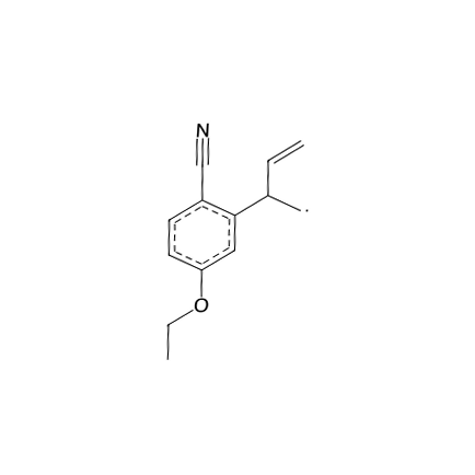 [CH2]C(C=C)c1cc(OCC)ccc1C#N